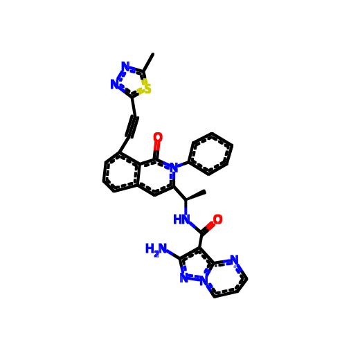 Cc1nnc(C#Cc2cccc3cc([C@@H](C)NC(=O)c4c(N)nn5cccnc45)n(-c4ccccc4)c(=O)c23)s1